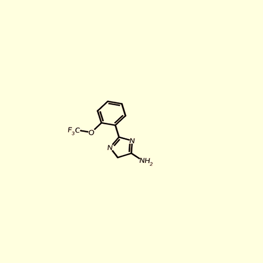 NC1=NC(c2ccccc2OC(F)(F)F)=NC1